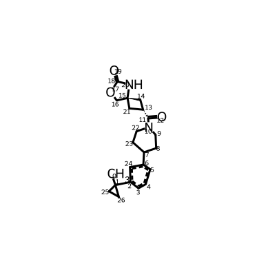 CC1(c2cccc(C3CCN(C(=O)[C@H]4C[C@]5(COC(=O)N5)C4)CC3)c2)CC1